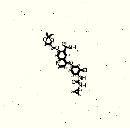 CC1(C)OC[C@H](COc2cc3nccc(Oc4ccc(NC(=O)NC5CC5)c(Cl)c4)c3cc2C(N)=O)O1